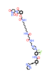 Cc1ccc(C(=O)Nc2ccc(CN3CCN(CCCNC(=O)CCC(=O)NCCCCCCCCNC(=O)COc4cccc5c4C(=O)N(C4CCC(=O)NC4=O)C5=O)CC3)c(C(F)(F)F)c2)cc1C#CC1CN=C2C=CC=NN21